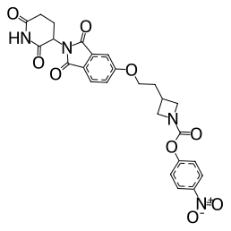 O=C1CCC(N2C(=O)c3ccc(OCCC4CN(C(=O)Oc5ccc([N+](=O)[O-])cc5)C4)cc3C2=O)C(=O)N1